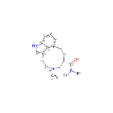 CCN(CC)C(=O)[C@H]1CCc2cccc3[nH]cc(c23)CCN(C)C1